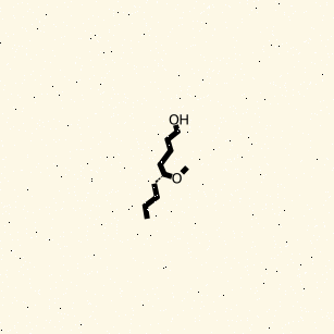 CCCC[C@H](CCCCO)OC